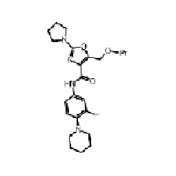 CC(C)OCc1oc(N2CCCC2)nc1C(=O)Nc1ccc(N2CCCCC2)c(F)c1